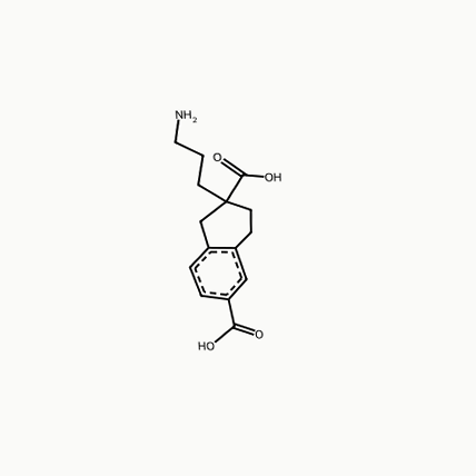 NCCCC1(C(=O)O)CCc2cc(C(=O)O)ccc2C1